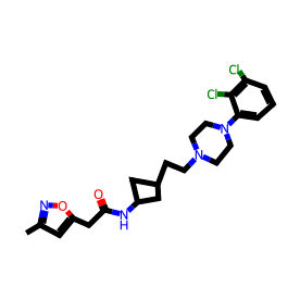 Cc1cc(CC(=O)NC2CC(CCN3CCN(c4cccc(Cl)c4Cl)CC3)C2)on1